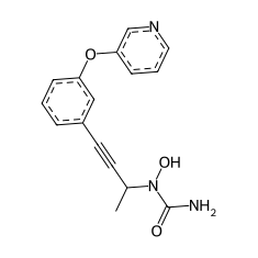 CC(C#Cc1cccc(Oc2cccnc2)c1)N(O)C(N)=O